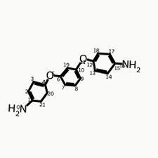 NC1=CC=C(Oc2cccc(Oc3ccc(N)cc3)c2)CC1